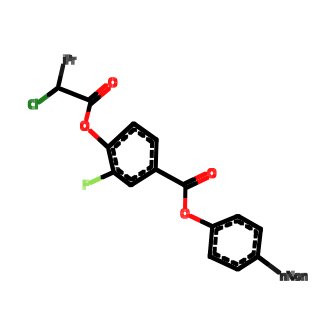 CCCCCCCCCc1ccc(OC(=O)c2ccc(OC(=O)C(Cl)C(C)C)c(F)c2)cc1